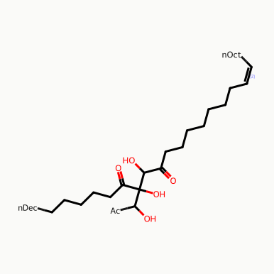 CCCCCCCC/C=C\CCCCCCCC(=O)C(O)C(O)(C(=O)CCCCCCCCCCCCCCC)C(O)C(C)=O